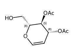 CC(=O)O[C@H]1[C@H](OC(C)=O)C=CO[C@@H]1CO